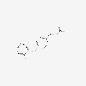 O=C(O)CCc1ccc(Nc2c(Cl)cccc2Cl)cc1